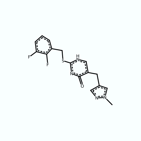 Cn1cc(Cc2c[nH]c(SCc3cccc(F)c3F)nc2=O)cn1